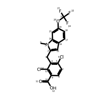 Cn1c(Cc2c(Cl)ccc(C(=O)O)c2Cl)cc2ccc(OC(F)(F)F)cc21